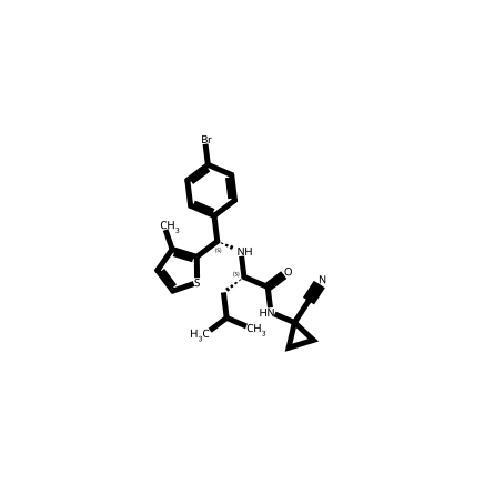 Cc1ccsc1[C@@H](N[C@@H](CC(C)C)C(=O)NC1(C#N)CC1)c1ccc(Br)cc1